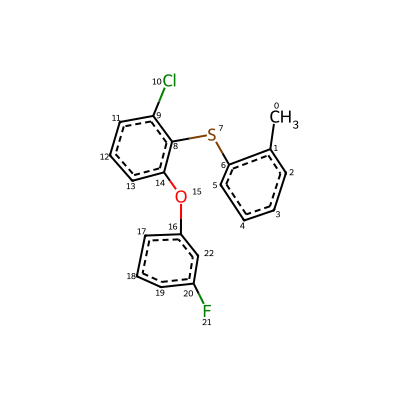 Cc1ccccc1Sc1c(Cl)cccc1Oc1cccc(F)c1